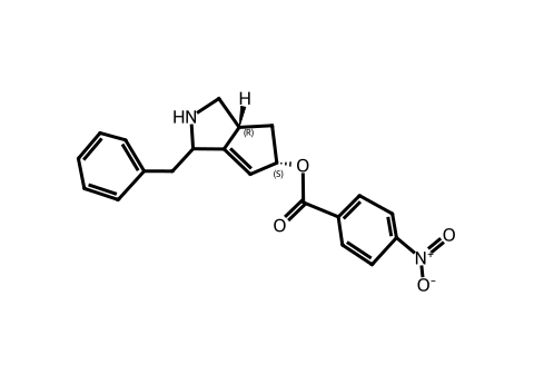 O=C(O[C@@H]1C=C2C(Cc3ccccc3)NC[C@@H]2C1)c1ccc([N+](=O)[O-])cc1